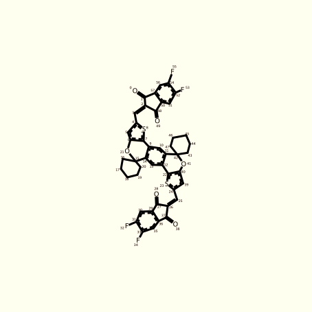 O=C1C(=Cc2cc3c(s2)-c2cc4c(cc2C2(CCCCC2)O3)-c2sc(C=C3C(=O)c5cc(F)c(F)cc5C3=O)cc2OC42CCCCC2)C(=O)c2cc(F)c(F)cc21